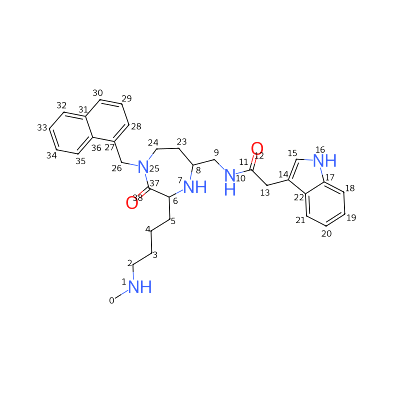 CNCCCCC1NC(CNC(=O)Cc2c[nH]c3ccccc23)CCN(Cc2cccc3ccccc23)C1=O